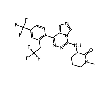 CN1CCCC(Nc2nnc(-c3ccc(C(F)(F)F)cc3CC(F)(F)F)c3cncn23)C1=O